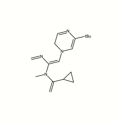 C=N/C(=C\N1C=C(C(C)(C)C)N=CC1)N(C)C(=C)C1CC1